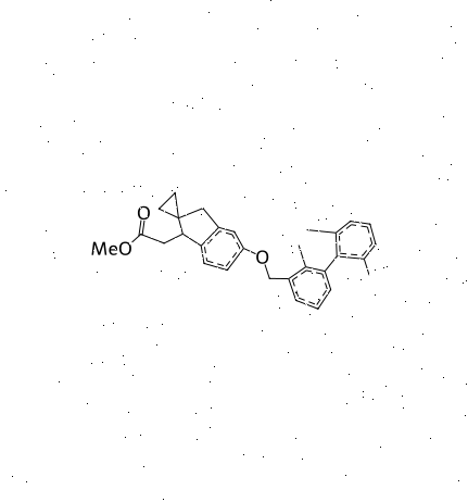 COC(=O)CC1c2ccc(OCc3cccc(-c4c(C)cccc4C)c3C)cc2CC12CC2